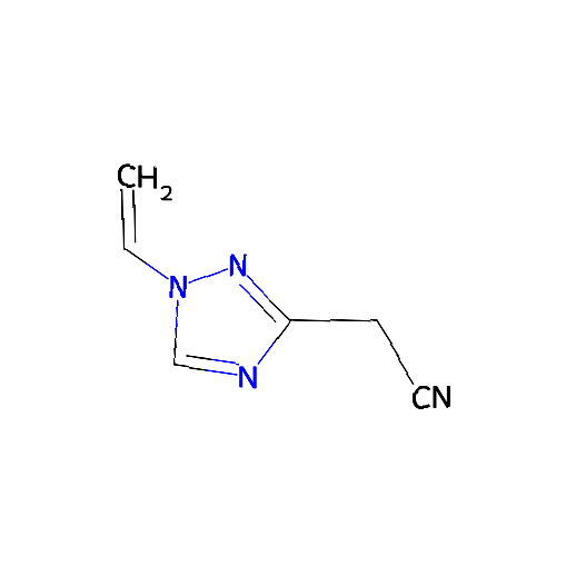 C=Cn1cnc(CC#N)n1